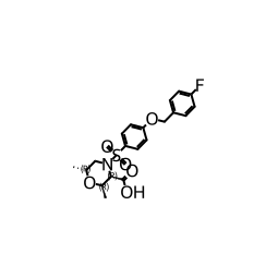 C[C@@H]1CN(S(=O)(=O)c2ccc(OCc3ccc(F)cc3)cc2)[C@@H](C(=O)O)[C@@H](C)O1